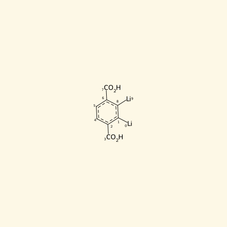 [Li][c]1c(C(=O)O)ccc(C(=O)O)[c]1[Li]